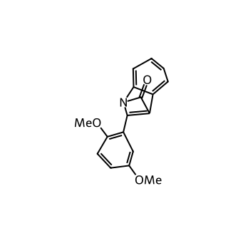 COc1ccc(OC)c(-c2c3c4ccccc4n2C3=O)c1